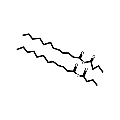 CCCCCCCCCCCC(=O)OC(=O)CCC.CCCCCCCCCCCC(=O)OC(=O)CCC